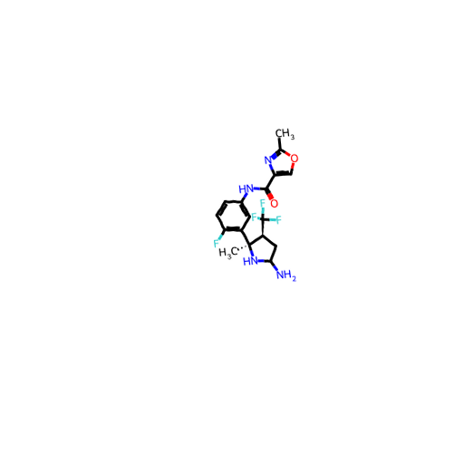 Cc1nc(C(=O)Nc2ccc(F)c([C@]3(C)NC(N)C[C@@H]3C(F)(F)F)c2)co1